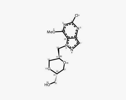 COc1nc(Cl)nc2cnn(C[C@@H]3CO[C@@H](CO)CO3)c12